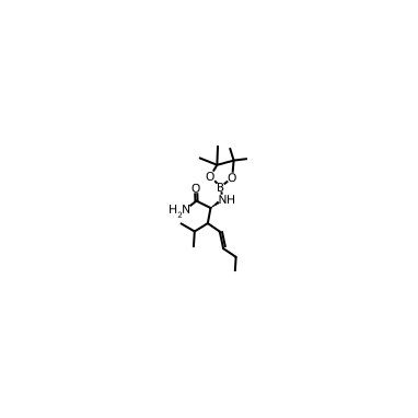 CCC=CC(C(C)C)[C@H](NB1OC(C)(C)C(C)(C)O1)C(N)=O